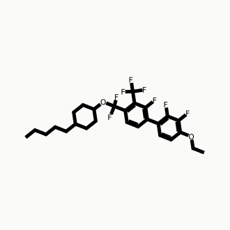 CCCCCC1CCC(OC(F)(F)c2ccc(-c3ccc(OCC)c(F)c3F)c(F)c2C(F)(F)F)CC1